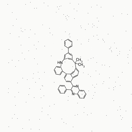 CC1(C)c2cc(cc(-c3ccccc3)c2)Nc2ccccc2-c2ccc(-c3nc4ccccc4nc3-c3ccccc3)c3ccc1cc23